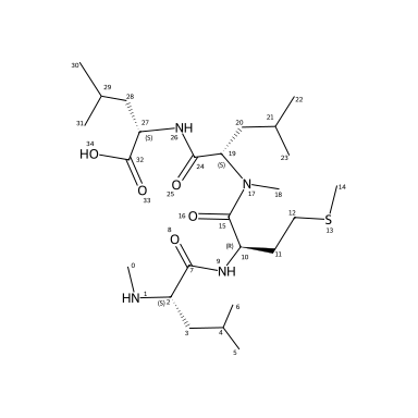 CN[C@@H](CC(C)C)C(=O)N[C@H](CCSC)C(=O)N(C)[C@@H](CC(C)C)C(=O)N[C@@H](CC(C)C)C(=O)O